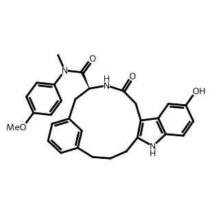 COc1ccc(N(C)C(=O)[C@@H]2Cc3cccc(c3)CCCc3[nH]c4ccc(O)cc4c3CC(=O)N2)cc1